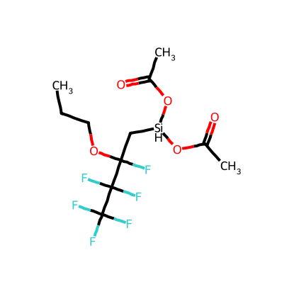 CCCOC(F)(C[SiH](OC(C)=O)OC(C)=O)C(F)(F)C(F)(F)F